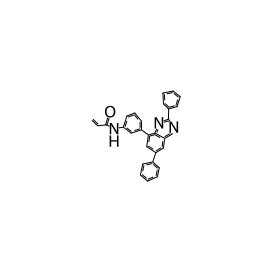 C=CC(=O)Nc1cccc(-c2cc(-c3ccccc3)cc3cnc(-c4ccccc4)nc23)c1